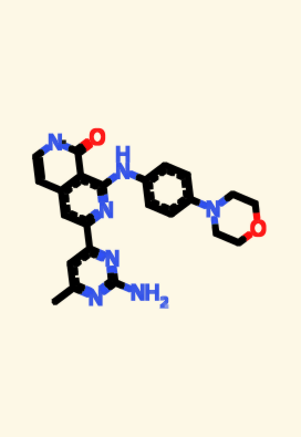 Cc1cc(-c2cc3c(c(Nc4ccc(N5CCOCC5)cc4)n2)C(=O)[N]C=C3)nc(N)n1